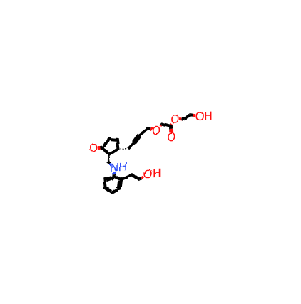 O=C(COCC#CC[C@H]1CCC(=O)[C@@H]1CNc1ccccc1CCO)OCCO